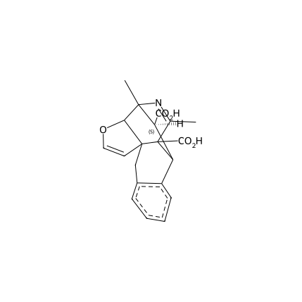 CC1=NC2(C)C3OC=CC34Cc3ccccc3C([C@@H]2C(=O)O)C14C(=O)O